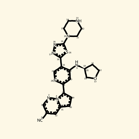 N#Cc1cnn2c(-c3cc(N[C@H]4CCOC4)c(-c4nnc(N5CCNCC5)s4)cn3)ccc2c1